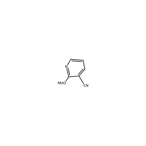 COc1n[c]ccc1C#N